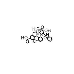 Cn1c(N2CCc3cc(C(=O)O)ccc3[C@@H]2c2ccccc2Cl)nc(-c2nc3ccccc3o2)c(O)c1=O